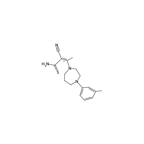 C/C(=C(\C#N)C(N)=S)N1CCCN(c2cccc(C)c2)CC1